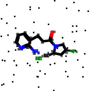 Cl.N#C[C@@H]1C[C@H](F)CN1C(=O)CCc1cccnc1N